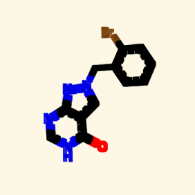 O=c1[nH]cnc2nn(Cc3ccccc3Br)cc12